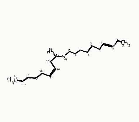 CCC=CCCCCCCSC(S)C/C=C\CCCCC